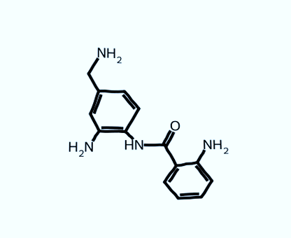 NCc1ccc(NC(=O)c2ccccc2N)c(N)c1